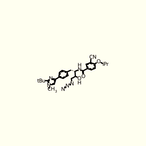 CC(C)Oc1ccc(C(=O)N[C@@H](Cc2ccc(-c3cn(C)c(C(C)(C)C)n3)cc2)C(O)CN=[N+]=[N-])cc1C#N